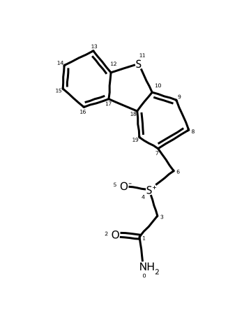 NC(=O)C[S+]([O-])Cc1ccc2sc3ccccc3c2c1